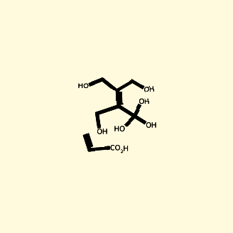 C=CC(=O)O.OCC(CO)=C(CO)C(O)(O)O